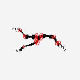 C=CC(=O)OCCCCCCOc1ccc(C#Cc2ccc(C(=O)Oc3ccc(OC(=O)c4ccc(C#Cc5ccc(OCCCCCCOC(=O)C=C)cc5)cc4)c(C(=O)OCCCCCCCCCCCOc4ccc(-c5ccc(C#N)cc5)cc4)c3)cc2)cc1